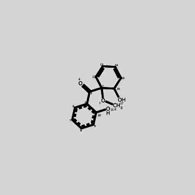 COC1(C(=O)c2ccccc2O)C=CC=CC1O